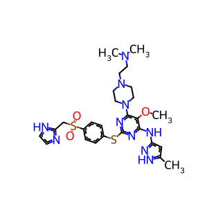 COc1c(Nc2cc(C)[nH]n2)nc(Sc2ccc(S(=O)(=O)Cc3ncc[nH]3)cc2)nc1N1CCN(CCN(C)C)CC1